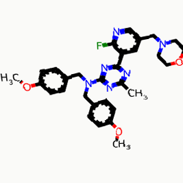 COc1ccc(CN(Cc2ccc(OC)cc2)c2nc(C)nc(-c3cc(CN4CCOCC4)cnc3F)n2)cc1